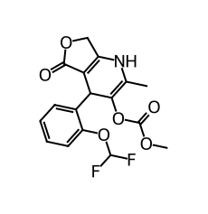 COC(=O)OC1=C(C)NC2=C(C(=O)OC2)C1c1ccccc1OC(F)F